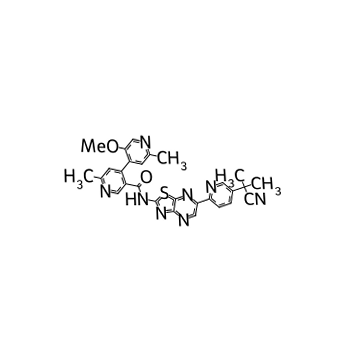 COc1cnc(C)cc1-c1cc(C)ncc1C(=O)Nc1nc2ncc(-c3ccc(C(C)(C)C#N)cn3)nc2s1